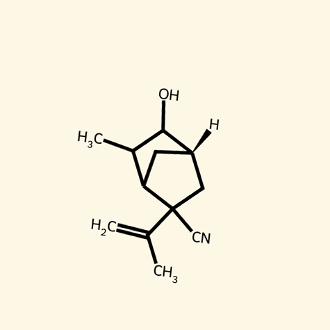 C=C(C)C1(C#N)C[C@@H]2CC1C(C)C2O